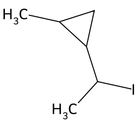 CC(I)C1CC1C